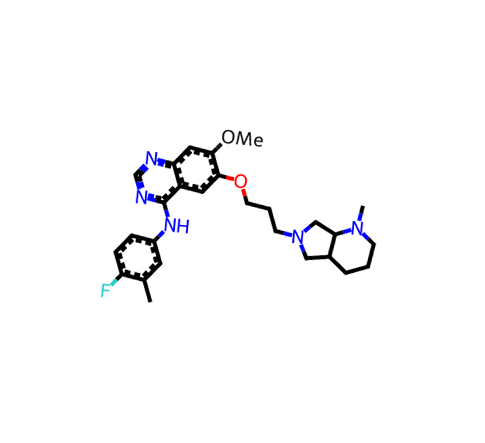 COc1cc2ncnc(Nc3ccc(F)c(C)c3)c2cc1OCCCN1CC2CCCN(C)C2C1